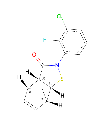 O=C1[C@@H]2[C@H](SN1c1cccc(Cl)c1F)[C@@H]1C=C[C@H]2C1